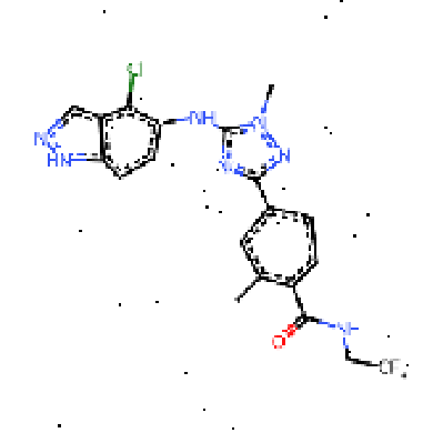 Cc1cc(-c2nc(Nc3ccc4[nH]ncc4c3Cl)n(C)n2)ccc1C(=O)NCC(F)(F)F